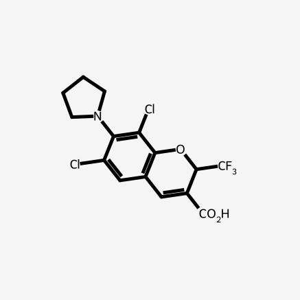 O=C(O)C1=Cc2cc(Cl)c(N3CCCC3)c(Cl)c2OC1C(F)(F)F